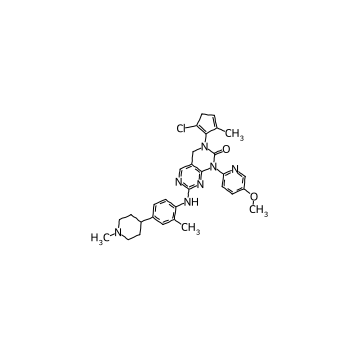 COc1ccc(N2C(=O)N(C3=C(Cl)CC=C3C)Cc3cnc(Nc4ccc(C5CCN(C)CC5)cc4C)nc32)nc1